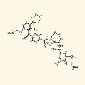 COCOc1ccc(N2CCCCC2)c(F)c1C(=O)c1ccc(C(=O)O[N+]2(C(=O)[O-])CCCCC(NC(=O)c3cc(C)c(OCOC)c(C)c3)C2)cc1